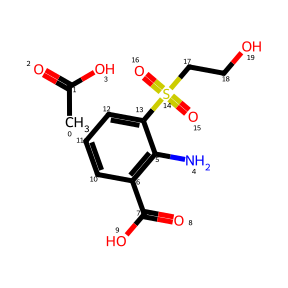 CC(=O)O.Nc1c(C(=O)O)cccc1S(=O)(=O)CCO